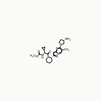 COC(=O)N[C@H](C(=O)N1CCCC[C@H]1c1cc2nc(N3CC[C@H](N)C3)c(C)cn2n1)C1CC1